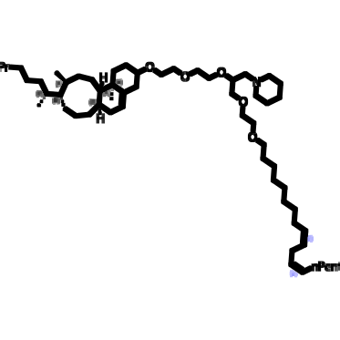 CCCCC/C=C\C/C=C\CCCCCCCCOCCOCC(CN1CCCCC1)OCCOCCOC1CC[C@@]2(C)C(=CC[C@H]3CCC[C@H]([C@H](C)CCCC(C)C)[C@@H](C)CC[C@@H]32)C1